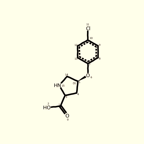 O=C(O)C1C[C@H](Oc2ccc(Cl)cc2)CN1